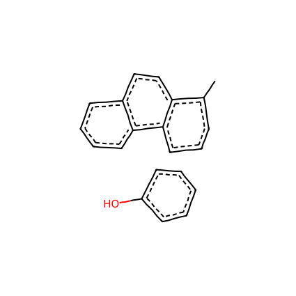 Cc1cccc2c1ccc1ccccc12.Oc1ccccc1